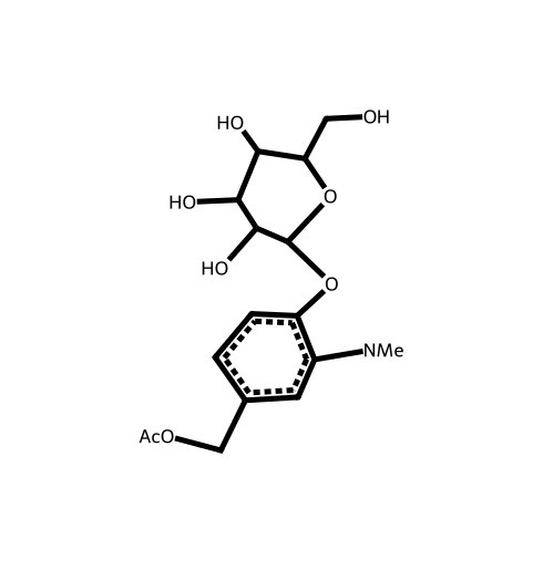 CNc1cc(COC(C)=O)ccc1OC1OC(CO)C(O)C(O)C1O